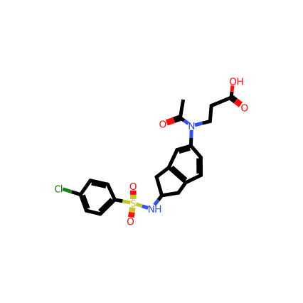 CC(=O)N(CCC(=O)O)c1ccc2c(c1)CC(NS(=O)(=O)c1ccc(Cl)cc1)C2